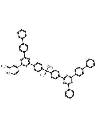 C=C/C=C(\C=C/C)c1nc(-c2ccc(-c3ccccc3)cc2)nc(-c2ccc(C(C)(C)c3ccc(-c4nc(-c5ccccc5)nc(-c5ccc(-c6ccccc6)cc5)n4)cc3)cc2)n1